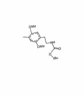 COc1cc(CCNC(=O)OC(C)(C)C)c(OC)cc1C